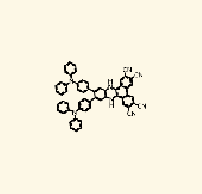 N#Cc1cc2c3c(c4cc(C#N)c(C#N)cc4c2cc1C#N)NC1C=C(c2ccc(N(c4ccccc4)c4ccccc4)cc2)C(c2ccc(N(c4ccccc4)c4ccccc4)cc2)=CC1N3